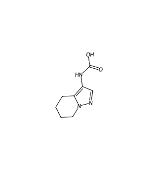 O=C(O)Nc1cnn2c1CCCC2